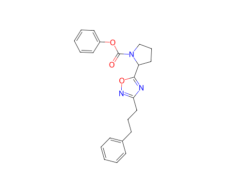 O=C(Oc1ccccc1)N1CCCC1c1nc(CCCc2ccccc2)no1